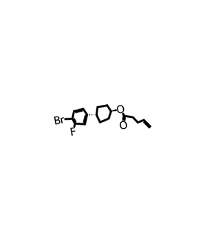 C=CCCC(=O)O[C@H]1CC[C@H](c2ccc(Br)c(F)c2)CC1